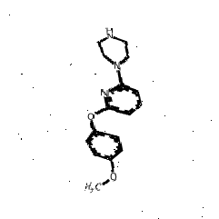 COc1ccc(Oc2cccc(N3CCNCC3)n2)cc1